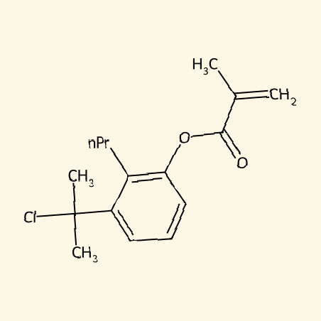 C=C(C)C(=O)Oc1cccc(C(C)(C)Cl)c1CCC